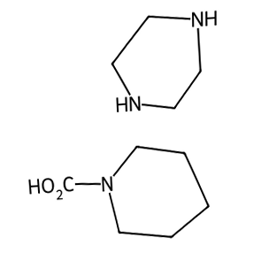 C1CNCCN1.O=C(O)N1CCCCC1